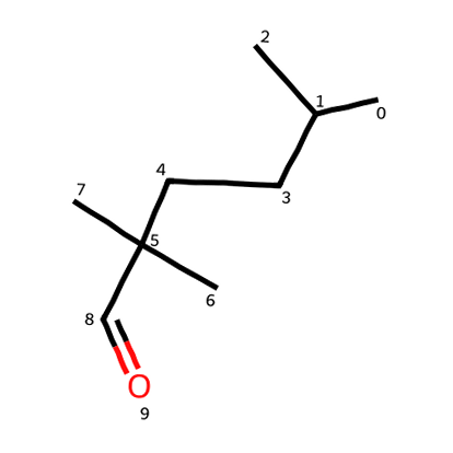 CC(C)CCC(C)(C)C=O